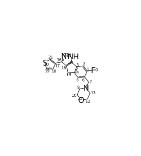 Fc1cc2c(cc1CN1CCOCC1)Cc1c(-c3ccsc3)n[nH]c1-2